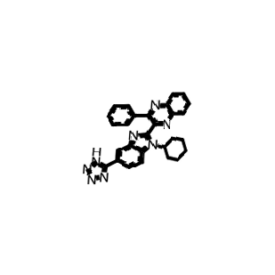 c1ccc(-c2nc3ccccc3nc2-c2nc3cc(-c4nnn[nH]4)ccc3n2C2CCCCC2)cc1